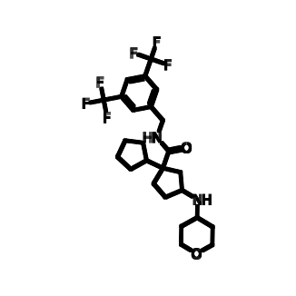 O=C(NCc1cc(C(F)(F)F)cc(C(F)(F)F)c1)C1(C2CCCC2)CCC(NC2CCOCC2)C1